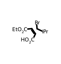 CC(C)CBr.CCOC(=O)/C=C\C(=O)O